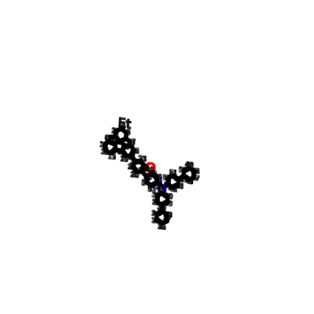 C=C1CC(CC)CC(C)C12c1ccccc1-c1cc(-c3ccc4c(c3)oc3cc(N(c5ccc(-c6ccccc6)cc5)c5ccc(-c6ccccc6)cc5)ccc34)ccc12